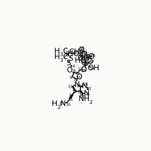 CC(C)(C)SSCOC1C[C@H](n2cc(C#CCN)c3c(N)ncnc32)O[C@@H]1COP(=O)(O)OP(=O)(O)OP(=O)(O)O